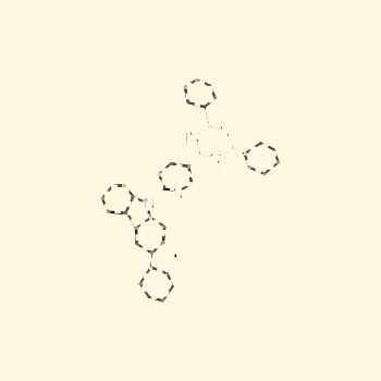 CN1C(c2ccccc2)NC(c2ccc(-n3c4ccccc4c4cc5c(cc43)C(C)(C)c3ccccc3-5)nc2)NC1c1ccccc1